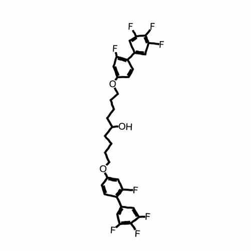 OC(CCCCOc1ccc(-c2cc(F)c(F)c(F)c2)c(F)c1)CCCCOc1ccc(-c2cc(F)c(F)c(F)c2)c(F)c1